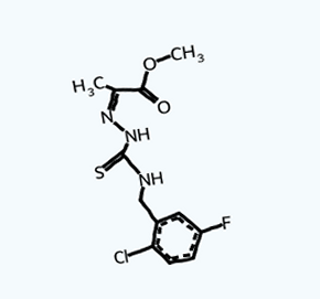 COC(=O)C(C)=NNC(=S)NCc1cc(F)ccc1Cl